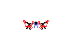 C=CC(=O)OCC(CC=CC(=O)O)(COC(=O)C=C)COC(=O)Nc1cccc(NC(=O)OCC(CC=CC(=O)O)(COC(=O)C=C)COC(=O)C=C)c1C